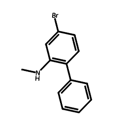 CNc1cc(Br)ccc1-c1ccccc1